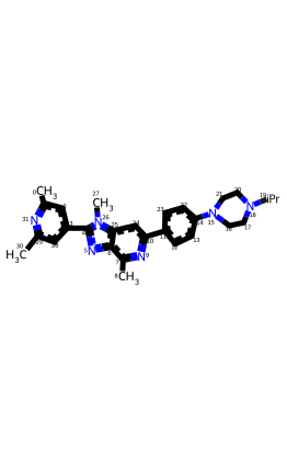 Cc1cc(-c2nc3c(C)nc(-c4ccc(N5CCN(C(C)C)CC5)cc4)cc3n2C)cc(C)n1